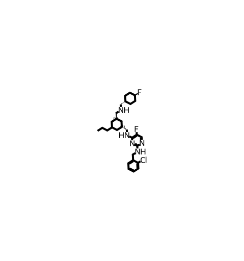 CCCC1C[C@@H](CNC[C@H]2CC[C@H](F)CC2)C[C@H](CNc2nc(NCc3ccccc3Cl)ncc2F)C1